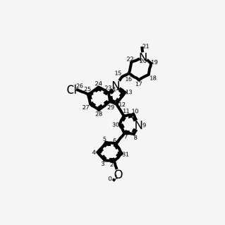 COc1cccc(-c2cncc(-c3cn(CC4CCCN(C)C4)c4cc(Cl)ccc34)c2)c1